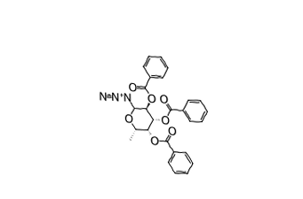 C[C@@H]1OC(N=[N+]=[N-])[C@@H](OC(=O)c2ccccc2)[C@H](OC(=O)c2ccccc2)[C@@H]1OC(=O)c1ccccc1